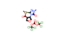 COC(=O)c1cocc1-n1c(Cl)nn(C)c1=O.O=C(OC(Cl)(Cl)Cl)OC(Cl)(Cl)Cl